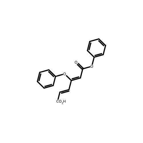 O=C(O)C=CC(=CC(=O)Oc1ccccc1)Oc1ccccc1